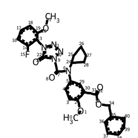 COc1ccc(N(C(=O)n2nnn(-c3c(F)cccc3OC)c2=O)C2CCCC2)cc1C(=O)OCc1ccccc1